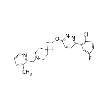 Cc1cccnc1CN1CCC2(CC1)CC(Oc1ccc(-c3cc(F)ccc3Cl)nn1)C2